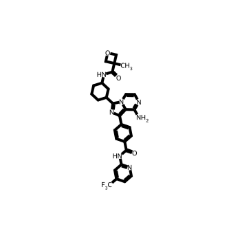 CC1(C(=O)NC2CCCC(c3nc(-c4ccc(C(=O)Nc5cc(C(F)(F)F)ccn5)cc4)c4c(N)nccn34)C2)COC1